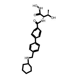 C[C@@H](O)[C@H](NC(=O)c1ccc(-c2ccc(CNC3CCCCC3)cc2)cc1)C(=O)NO